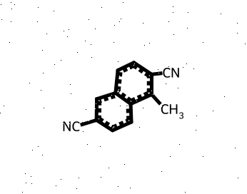 Cc1c(C#N)ccc2cc(C#N)ccc12